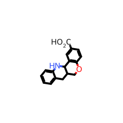 O=C(O)c1ccc2c(c1)C1Nc3ccccc3CC1CO2